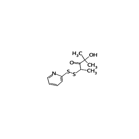 CC(SSc1ccccn1)C(=O)C(C)(C)O